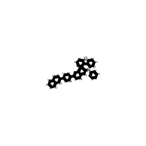 c1ccc(N(c2ccc3cc(-c4ccc(-c5ccc6ccccc6c5)cc4)ccc3c2)c2cccc3oc4ccccc4c23)cc1